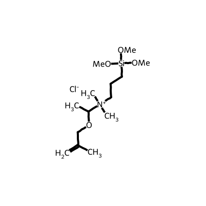 C=C(C)COC(C)[N+](C)(C)CCC[Si](OC)(OC)OC.[Cl-]